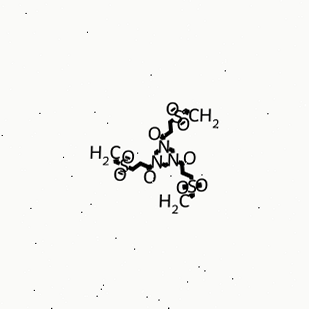 C=CS(=O)(=O)CCC(=O)N1CN(C(=O)CCS(=O)(=O)C=C)CN(C(=O)CCS(=O)(=O)C=C)C1